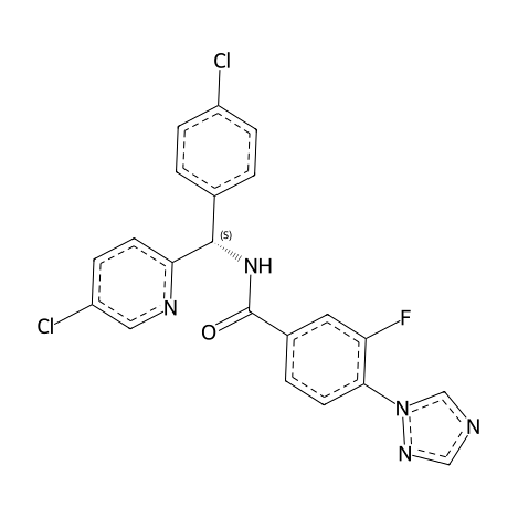 O=C(N[C@@H](c1ccc(Cl)cc1)c1ccc(Cl)cn1)c1ccc(-n2cncn2)c(F)c1